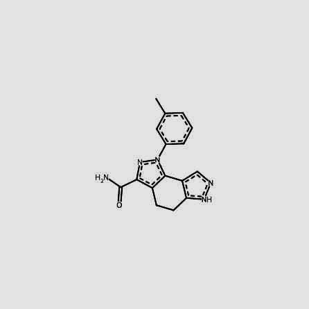 Cc1cccc(-n2nc(C(N)=O)c3c2-c2cn[nH]c2CC3)c1